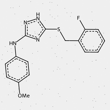 COc1ccc(Nc2n[nH]c(SCc3ccccc3F)n2)cc1